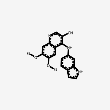 CCOc1cc2ncc(C#N)c(Nc3ccc4cc[nH]c4c3)c2cc1OCC